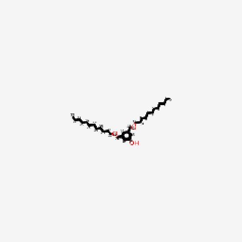 CCCCCCCCCCCCOCc1cc(O)cc(COCCCCCCCCCCCC)c1